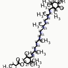 CCCC(=O)OC1CC(C)=C(/C=C/C(C)=C/C=C/C(C)=C/C=C/C=C(C)/C=C/C=C(C)/C=C/C2=C(C)C(=O)C(O)CC2(C)C)C(C)(C)C1